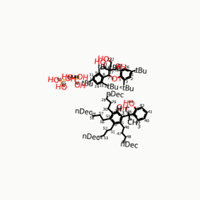 CC(C)(C)c1cc(C(C)(C)C)c(OC(c2c(C(C)(C)C)cc(C(C)(C)C)cc2C(C)(C)C)C(CO)(CO)CO)c(C(C)(C)C)c1.CCCCCCCCCCCCCc1c(O)c(C(C)(C)c2ccccc2O)c(CCCCCCCCCCCCC)c(CCCCCCCCCCCCC)c1CCCCCCCCCCCCC.OP(O)O.OP(O)O